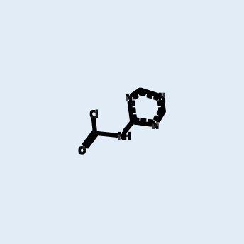 O=C(Cl)Nc1ncncn1